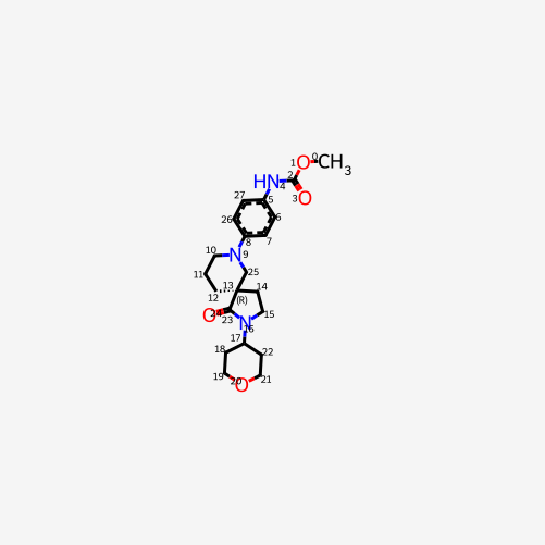 COC(=O)Nc1ccc(N2CCC[C@@]3(CCN(C4CCOCC4)C3=O)C2)cc1